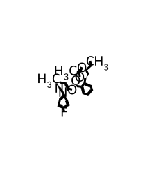 CCCC[C@@H](OC(C)=O)c1ccccc1C(=O)Oc1cc(C)nn1-c1ccc(F)cc1